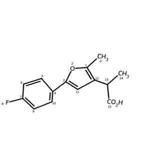 Cc1oc(-c2ccc(F)cc2)cc1C(C)C(=O)O